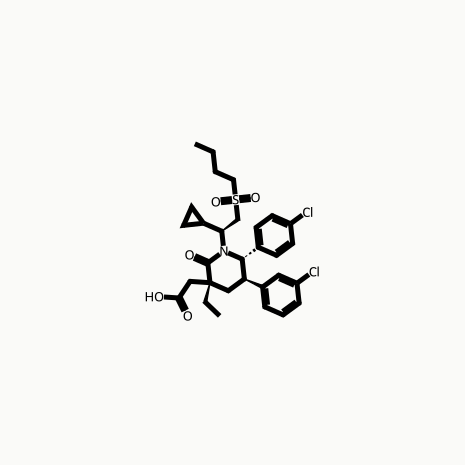 CCCCS(=O)(=O)C[C@H](C1CC1)N1C(=O)[C@@](CC)(CC(=O)O)C[C@H](c2cccc(Cl)c2)[C@H]1c1ccc(Cl)cc1